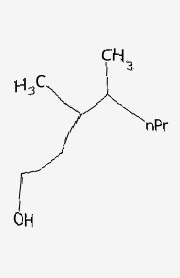 CCCC(C)C(C)CCO